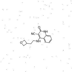 N#Cc1c(NCCC2COC2)c2ccccc2[nH]c1=O